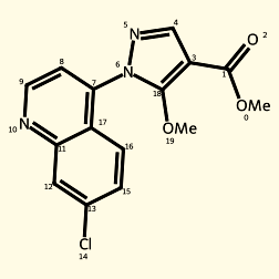 COC(=O)c1cnn(-c2ccnc3cc(Cl)ccc23)c1OC